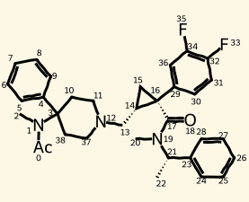 CC(=O)N(C)C1(c2ccccc2)CCN(C[C@@H]2C[C@@]2(C(=O)N(C)[C@@H](C)c2ccccc2)c2ccc(F)c(F)c2)CC1